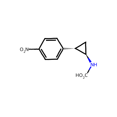 O=C(O)N[C@@H]1C[C@H]1c1ccc([N+](=O)[O-])cc1